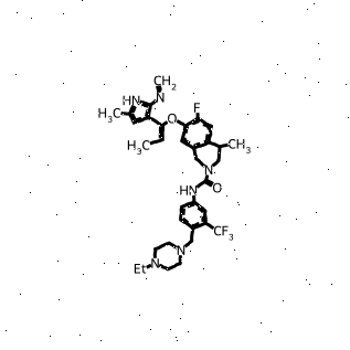 C=Nc1[nH]c(C)cc1/C(=C\C)Oc1cc2c(cc1F)C(C)CN(C(=O)Nc1ccc(CN3CCN(CC)CC3)c(C(F)(F)F)c1)C2